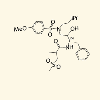 COc1ccc(S(=O)(=O)N(CCC(C)C)CC(O)[C@H](Cc2ccccc2)NC(=O)C(C)CS(C)(=O)=O)cc1